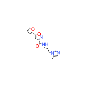 Cc1cncn1CCCNC(=O)c1cc(-c2ccco2)on1